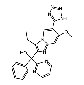 CCc1c(C(O)(c2ccccc2)c2ncccn2)nc2cc(OC)c(-c3nnn[nH]3)cn12